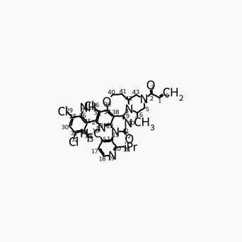 C=CC(=O)N1CC(C)N2c3nc(=O)n(-c4c(C)ccnc4C(C)C)c4nc(-c5c(N)c(Cl)cc(Cl)c5F)c(Cl)c(c34)OCCC2C1